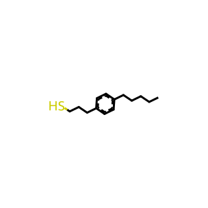 CCCCCc1ccc(CCCS)cc1